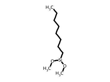 CCCCCCCC[Si](OC)OC